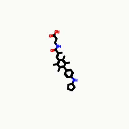 C/C(=C\c1c(C)c(C)c(-c2ccc(NC3CCCC3)cc2)c(C)c1C)C(=O)NCCC(=O)O